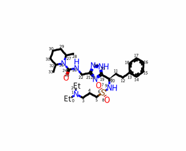 CCN(CC)CCCS(=O)(=O)N[C@H](CCc1ccccc1)c1nc(CNC(=O)N2C(C)CCCC2C)n[nH]1